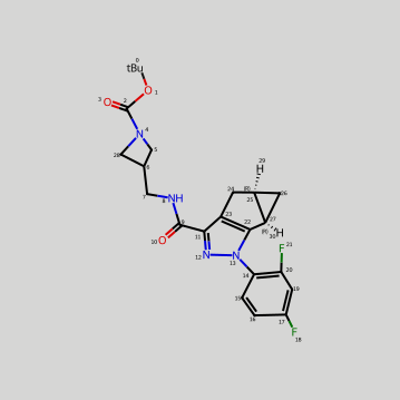 CC(C)(C)OC(=O)N1CC(CNC(=O)c2nn(-c3ccc(F)cc3F)c3c2C[C@H]2C[C@@H]32)C1